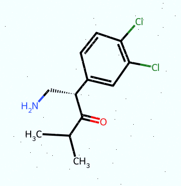 CC(C)C(=O)[C@H](CN)c1ccc(Cl)c(Cl)c1